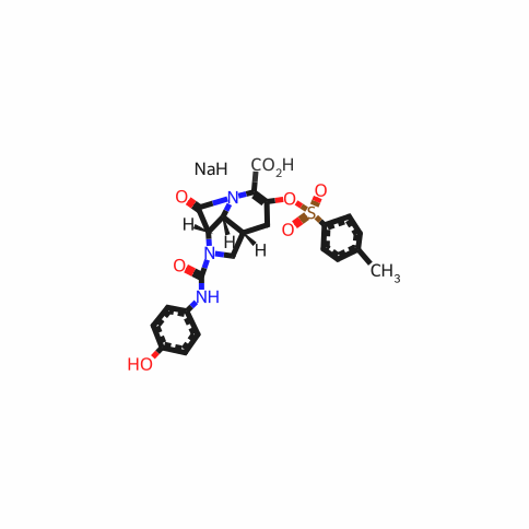 Cc1ccc(S(=O)(=O)OC2=C(C(=O)O)N3C(=O)[C@@H]4[C@H]3[C@H](C2)CN4C(=O)Nc2ccc(O)cc2)cc1.[NaH]